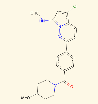 COC1CCN(C(=O)c2ccc(-c3ccc4c(Cl)cc(NC=O)n4n3)cc2)CC1